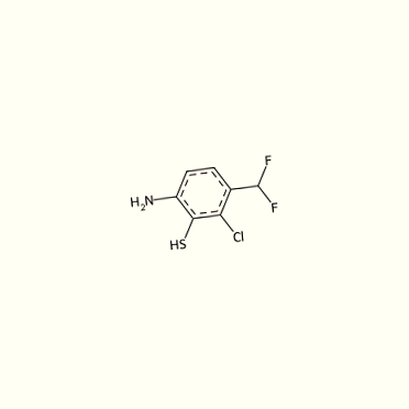 Nc1ccc(C(F)F)c(Cl)c1S